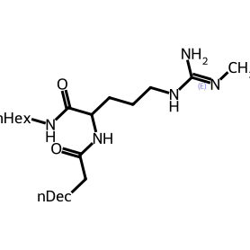 CCCCCCCCCCCC(=O)NC(CCCN/C(N)=N/C)C(=O)NCCCCCC